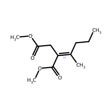 CCC/C(C)=C(\CC(=O)OC)C(=O)OC